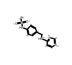 CC(C)S(=O)(=O)Nc1ccc(CNc2ccncn2)cc1